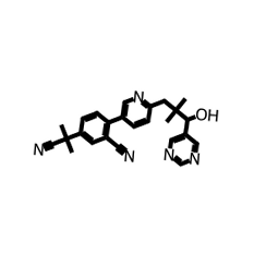 CC(C)(C#N)c1ccc(-c2ccc(CC(C)(C)C(O)c3cncnc3)nc2)c(C#N)c1